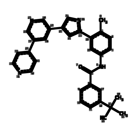 Cc1ccc(NC(=O)c2cccc(C(C)(C)C#N)c2)cc1-n1cc(-c2cncc(-c3ccncc3)c2)cn1